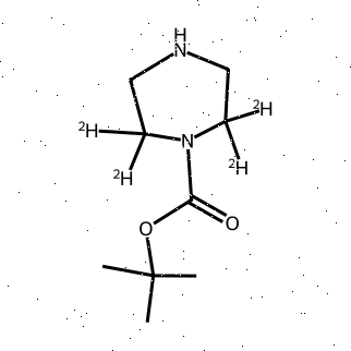 [2H]C1([2H])CNCC([2H])([2H])N1C(=O)OC(C)(C)C